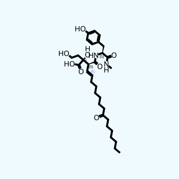 CCCCCCCC(=O)CCCCCC/C=C/[C@H](C(=O)N[C@@H](Cc1ccc(O)cc1)C(=O)NC)[C@@](O)(CCO)C(=O)O